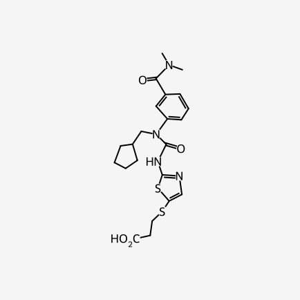 CN(C)C(=O)c1cccc(N(CC2CCCC2)C(=O)Nc2ncc(SCCC(=O)O)s2)c1